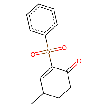 CC1C=C(S(=O)(=O)c2ccccc2)C(=O)CC1